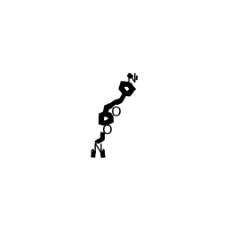 CCN(CC)CCCOc1ccc2cc(C=Cc3ccc(N(C)C)cc3)oc2c1